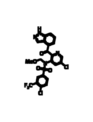 COCN(c1cc(Cl)cnc1C(=O)c1cccc2[nH]ncc12)S(=O)(=O)c1ccc(Cl)c(C(F)(F)F)c1